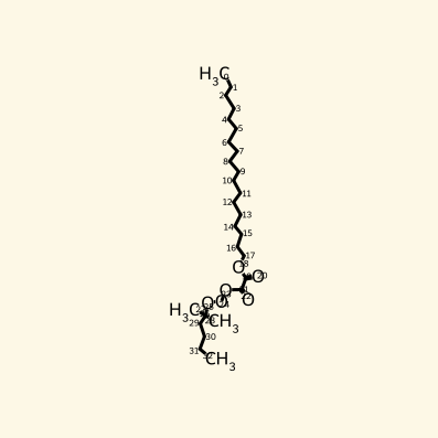 CCCCCCCCCCCCCCCCCCOC(=O)C(=O)OOOC(C)(C)CCCC